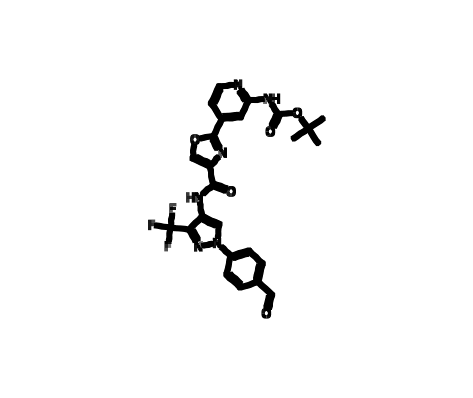 CC(C)(C)OC(=O)Nc1cc(-c2nc(C(=O)Nc3cn(-c4ccc(C=O)cc4)nc3C(F)(F)F)co2)ccn1